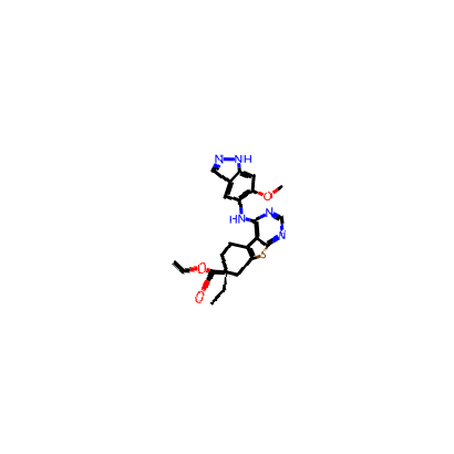 CCOC(=O)[C@]1(CC)CCc2c(sc3ncnc(Nc4cc5cn[nH]c5cc4OC)c23)C1